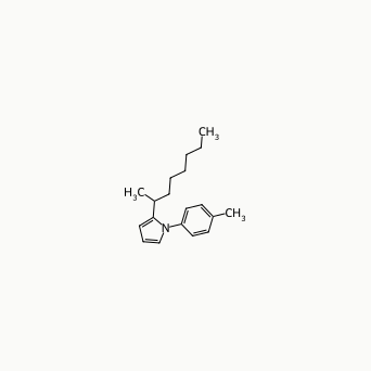 CCCCCCC(C)c1cccn1-c1ccc(C)cc1